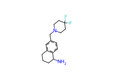 NC1CCCc2cc(CN3CCC(F)(F)CC3)ccc21